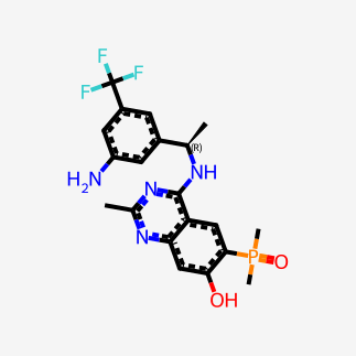 Cc1nc(N[C@H](C)c2cc(N)cc(C(F)(F)F)c2)c2cc(P(C)(C)=O)c(O)cc2n1